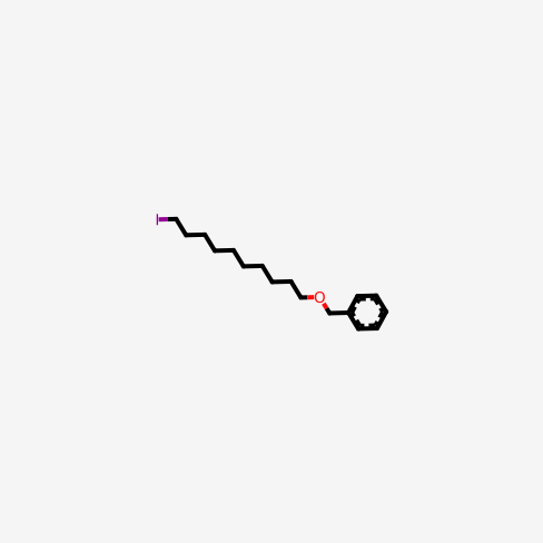 ICCCCCCCCCCOCc1ccccc1